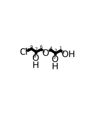 OCC(O)COCC(O)CCl